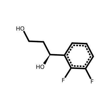 OCC[C@H](O)c1cccc(F)c1F